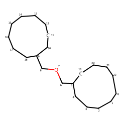 C1CCCCC(COCC2CCCCCCCCC2)CCCC1